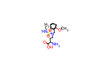 CNS(=O)(=O)N(CCC(N)C(=O)O)Cc1ccccc1OC